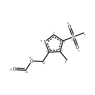 Cc1c(S(C)(=O)=O)csc1COC=O